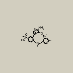 Cc1ccc2c(c1)[C@@H](C)Oc1nc(cnc1N)-c1cc(S(C)(=N)=O)ccc1CN(C)C2